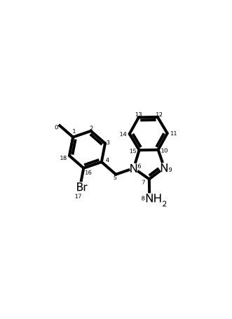 Cc1ccc(Cn2c(N)nc3ccccc32)c(Br)c1